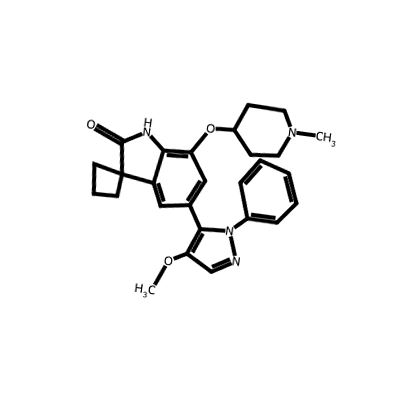 COc1cnn(-c2ccccc2)c1-c1cc(OC2CCN(C)CC2)c2c(c1)C1(CCC1)C(=O)N2